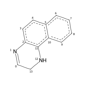 C1=Nc2ccc3ccccc3c2NC1